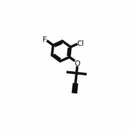 C#CC(C)(C)Oc1ccc(F)cc1Cl